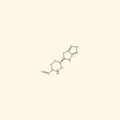 O=CC1CC[C@@H](N2Cc3cscc3O2)CN1